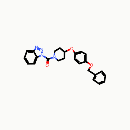 O=C(N1CCC(Oc2ccc(OCc3ccccc3)cc2)CC1)n1nnc2ccccc21